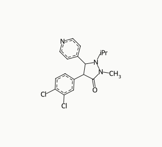 CC(C)N1C(c2ccncc2)C(c2ccc(Cl)c(Cl)c2)C(=O)N1C